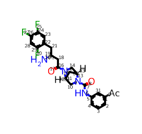 CC(=O)c1cccc(NC(=O)N2C[C@@H]3C[C@H]2CN3C(=O)C[C@H](N)Cc2cc(F)c(F)cc2F)c1